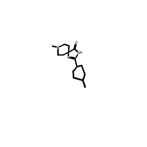 CC1CCC(C2=NC3(CCN(C)CC3)C(=O)N2)CC1